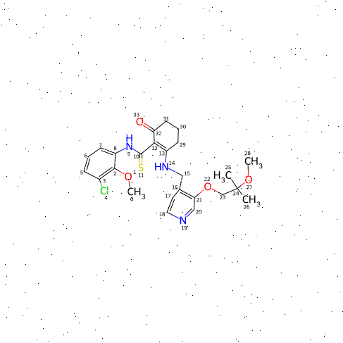 COc1c(Cl)cccc1NC(=S)C1=C(NCc2ccncc2OCC(C)(C)OC)CCCC1=O